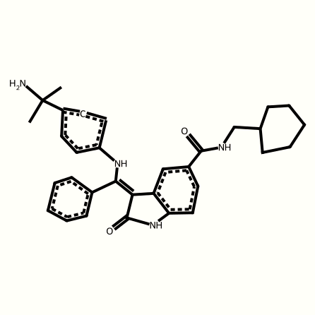 CC(C)(N)c1ccc(NC(=C2C(=O)Nc3ccc(C(=O)NCC4CCCCC4)cc32)c2ccccc2)cc1